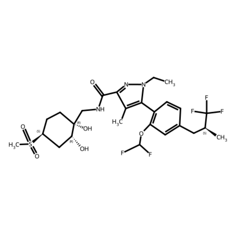 CCn1nc(C(=O)NC[C@]2(O)CC[C@H](S(C)(=O)=O)C[C@H]2O)c(C)c1-c1ccc(C[C@H](C)C(F)(F)F)cc1OC(F)F